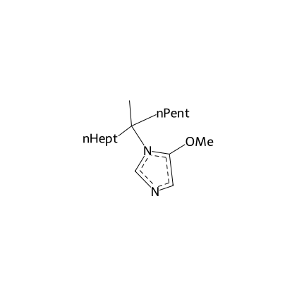 CCCCCCCC(C)(CCCCC)n1cncc1OC